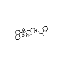 CCCN(CC1CCN(CCC(C)c2ccccc2)CC1)S(=O)(=O)c1cccc2ccccc12